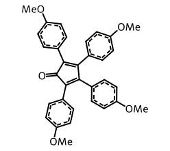 COc1ccc(C2=C(c3ccc(OC)cc3)C(c3ccc(OC)cc3)=C(c3ccc(OC)cc3)C2=O)cc1